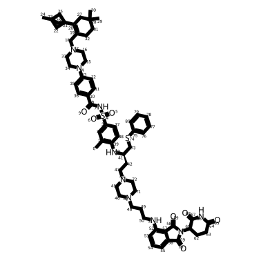 Cc1cc(S(=O)(=O)NC(=O)c2ccc(N3CCN(CC4=C(C56CC(C)(C5)C6)CC(C)(C)CC4)CC3)cc2)ccc1N[C@H](CCN1CCN(CCCNc2cccc3c2C(=O)N(C2CCC(=O)NC2=O)C3=O)CC1)CSc1ccccc1